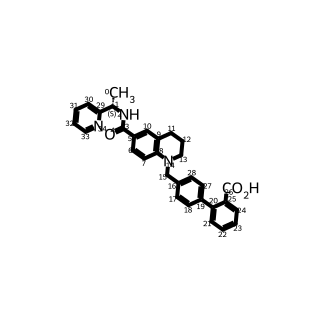 C[C@H](NC(=O)c1ccc2c(c1)CCCN2Cc1ccc(-c2ccccc2C(=O)O)cc1)c1ccccn1